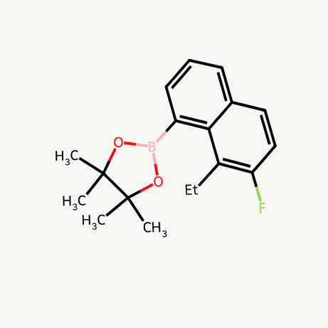 CCc1c(F)ccc2cccc(B3OC(C)(C)C(C)(C)O3)c12